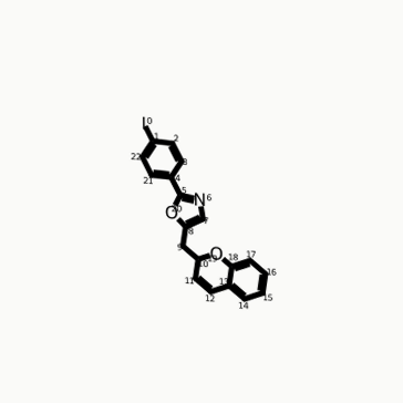 Ic1ccc(-c2ncc(CC3C=Cc4ccccc4O3)o2)cc1